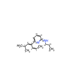 C/C=C\C(=C/C(C)C)c1cccc(NCCC)n1